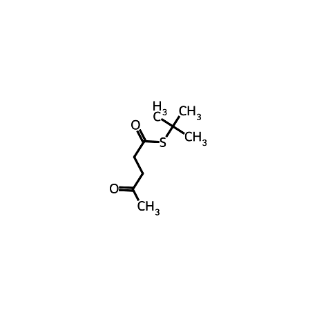 CC(=O)CCC(=O)SC(C)(C)C